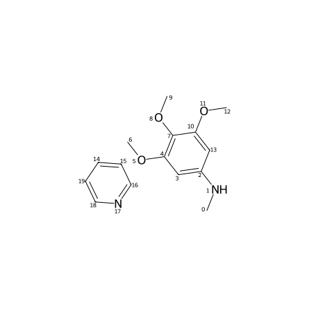 CNc1cc(OC)c(OC)c(OC)c1.c1ccncc1